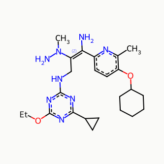 CCOc1nc(NC/C(=C(/N)c2ccc(OC3CCCCC3)c(C)n2)N(C)N)nc(C2CC2)n1